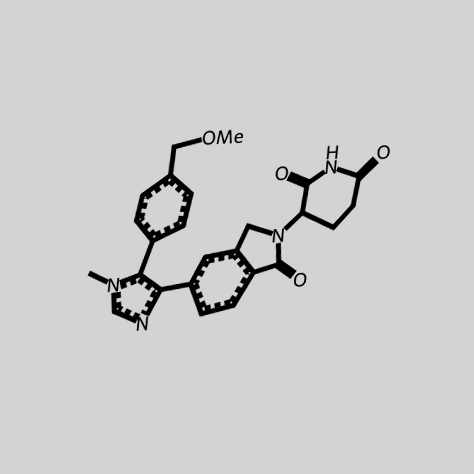 COCc1ccc(-c2c(-c3ccc4c(c3)CN(C3CCC(=O)NC3=O)C4=O)ncn2C)cc1